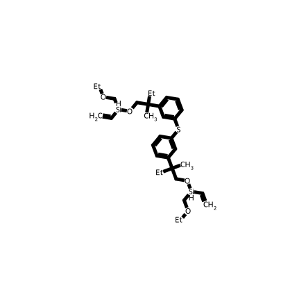 C=C[SiH](COCC)OCC(C)(CC)c1cccc(Sc2cccc(C(C)(CC)CO[SiH](C=C)COCC)c2)c1